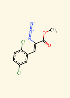 COC(=O)/C(=C/c1cc(Cl)ccc1Cl)N=[N+]=[N-]